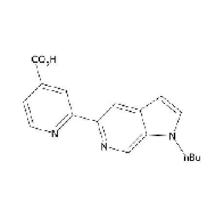 CCCCn1ccc2cc(-c3cc(C(=O)O)ccn3)ncc21